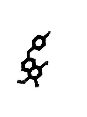 COc1c(Br)cc(Cl)c2cc(Cc3ccc(F)cc3)cnc12